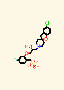 O=S(=O)(O)Cc1ccc(F)cc1OC[C@H](O)CN1CCC2(CC1)Cc1cc(Cl)ccc1O2